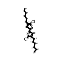 CCCCCCc1cc(-c2cc(CCCCCC)c(Cl)s2)sc1Cl